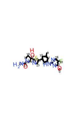 COc1nc(Nc2cc(C)cc(-c3cnc(C4(O)CCN(C(N)=O)C4)s3)c2)ncc1F